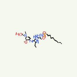 CCCCCCCCCCS(=O)(=O)NC(C)c1nnc2n1N=C(CC)/C2=N/c1ccc(N(CC)CCO)cc1OC